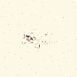 CC1Oc2nc(-c3cc(N(C(=O)OC(C)(C)C)C(=O)OC(C)(C)C)nc4cccc(C#C[Si](C(C)C)(C(C)C)C(C)C)c34)c(F)c3nc([S+](C)[O-])nc(c23)N2CC3CCC(C12)N3C(=O)O